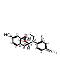 Nc1ccc(N2CC[C@@]34CCCC[C@@H]3[C@@H]2Cc2ccc(O)cc24)c(F)c1